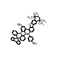 CC(C)(C)c1ccc(N2B3c4cccc5c4N(c4ccccc4C54c5ccccc5-c5ccccc54)c4cc(C(C)(C)C)cc(c43)-c3c2ccc2c3oc3cc4c(cc32)C(C)(C)CCC4(C)C)cc1